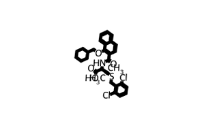 CC(C)(SCc1c(Cl)cccc1Cl)C(NC(=O)c1ccc2ccccc2c1OCC1CCCCC1)C(=O)O